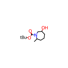 CC1CCCC(O)CN1C(=O)OC(C)(C)C